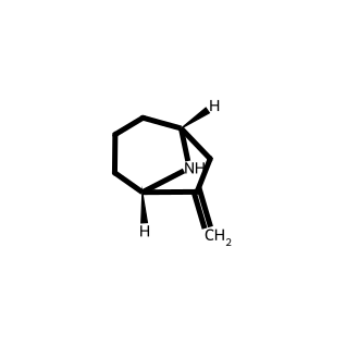 C=C1C[C@H]2CCC[C@@H]1N2